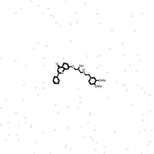 COc1ccc(CCNCC(O)COc2ccc3c(=O)cc(-c4ccccc4)oc3c2)cc1OC